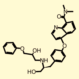 CN(C)C(=O)c1cccc2c(Oc3ccc(C[C@@H](CO)NC[C@H](O)COc4ccccc4)cc3)ccnc12